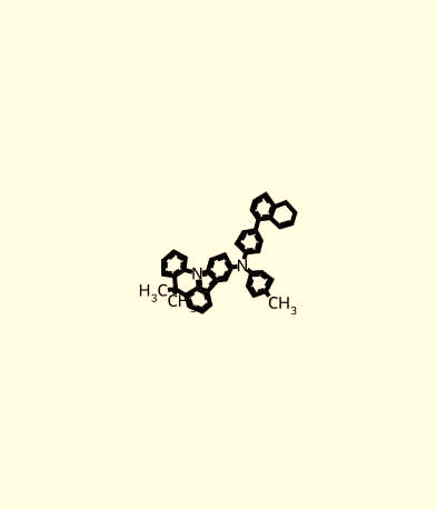 Cc1ccc(N(c2ccc(-c3cccc4c3C=CCC4)cc2)c2ccc3c(c2)c2cccc4c2n3-c2ccccc2C4(C)C)cc1